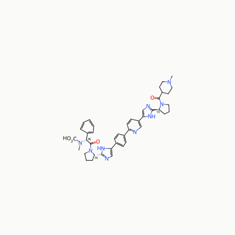 CN1CCC(C(=O)N2CCC[C@H]2c2ncc(-c3ccc(-c4ccc(-c5cnc([C@@H]6CCCN6C(=O)[C@@H](c6ccccc6)N(C)C(=O)O)[nH]5)cc4)nc3)[nH]2)CC1